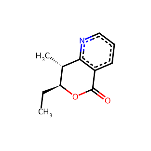 CC[C@@H]1OC(=O)c2cccnc2[C@H]1C